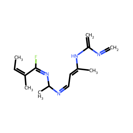 C=NC(=C)N/C(C)=C/C=N\C(C)/N=C(F)\C(C)=C/C